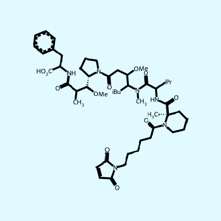 CCC(C)C(C(CC(=O)N1CCC[C@H]1C(OC)C(C)C(=O)NC(Cc1ccccc1)C(=O)O)OC)N(C)C(=O)C(NC(=O)[C@@]1(C)CCCCN1C(=O)CCCCCN1C(=O)C=CC1=O)C(C)C